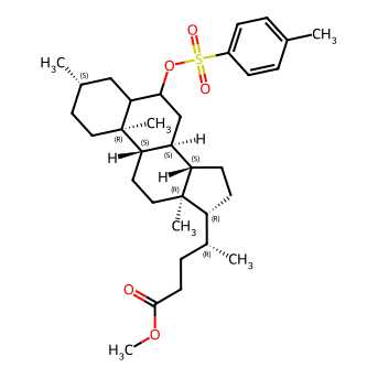 COC(=O)CC[C@@H](C)[C@H]1CC[C@H]2[C@@H]3CC(OS(=O)(=O)c4ccc(C)cc4)C4C[C@@H](C)CC[C@]4(C)[C@H]3CC[C@]12C